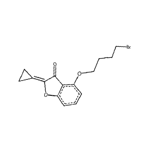 O=C1C(=C2CC2)Oc2cccc(OCCCCBr)c21